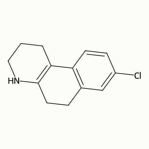 Clc1ccc2c(c1)CCC1=C2CCCN1